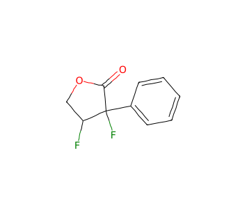 O=C1OCC(F)C1(F)c1ccccc1